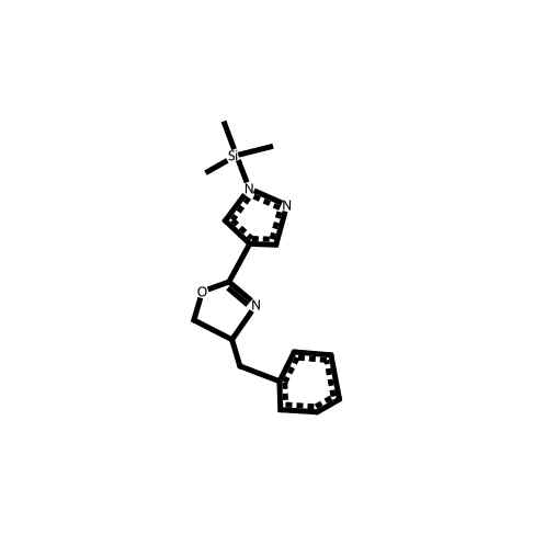 C[Si](C)(C)n1cc(C2=NC(Cc3ccccc3)CO2)cn1